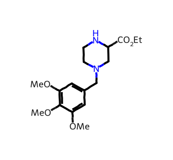 CCOC(=O)C1CN(Cc2cc(OC)c(OC)c(OC)c2)CCN1